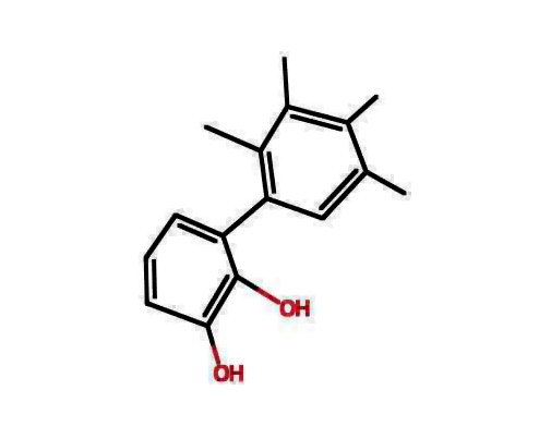 Cc1cc(-c2cccc(O)c2O)c(C)c(C)c1C